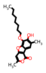 CCCCCCCCOc1c(O)c(C)cc2c1oc1cc(C)oc(=O)c12